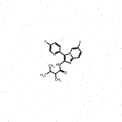 CC(C)C(C)C(=O)Nc1nc2ccc(F)cn2c1-c1ccc(F)cn1